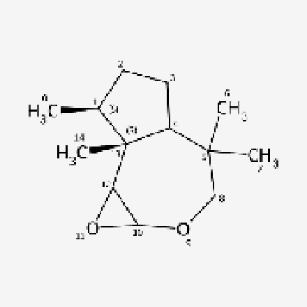 C[C@H]1CCC2C(C)(C)COC3OC3[C@@]21C